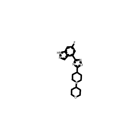 Fc1cc(-c2noc(C3CCN(C4CCOCC4)CC3)n2)c2cn[nH]c2c1